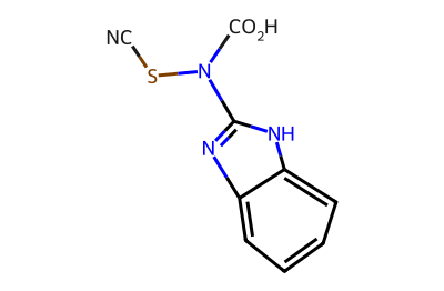 N#CSN(C(=O)O)c1nc2ccccc2[nH]1